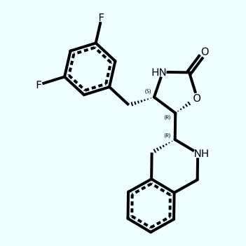 O=C1N[C@@H](Cc2cc(F)cc(F)c2)[C@@H]([C@H]2Cc3ccccc3CN2)O1